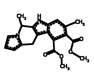 COC(=O)c1c(C)cc2[nH]c3c(c2c1C(=O)OC)Cc1cccn1C3C